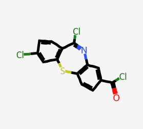 O=C(Cl)c1ccc2c(c1)N=C(Cl)c1ccc(Cl)cc1S2